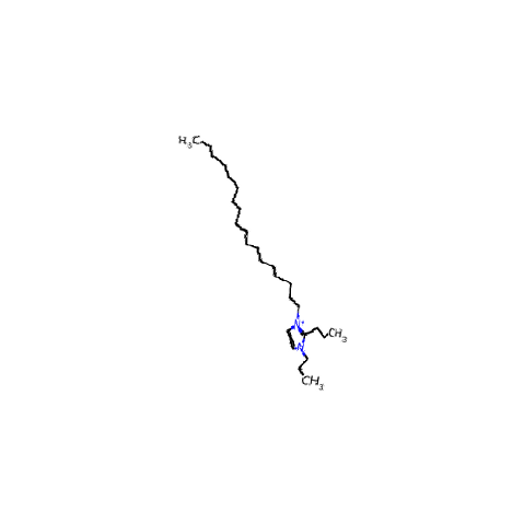 CCCCCCCCCCCCCCCCCC[n+]1ccn(CCC)c1CCC